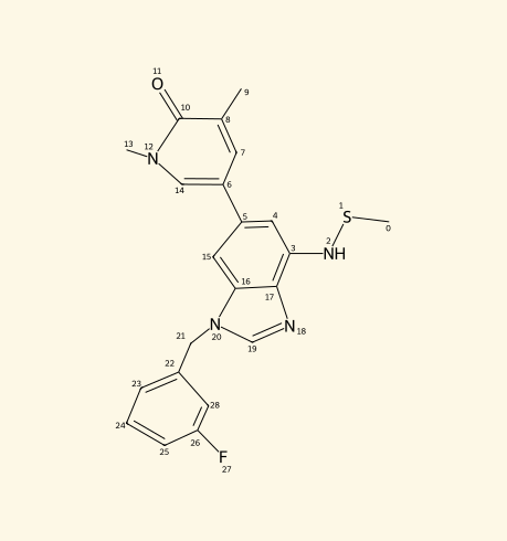 CSNc1cc(-c2cc(C)c(=O)n(C)c2)cc2c1ncn2Cc1cccc(F)c1